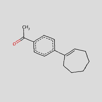 CC(=O)c1ccc(C2=CCCCCC2)cc1